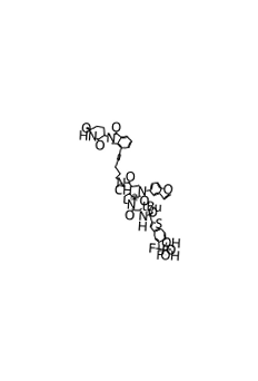 CN(CCCC#Cc1cccc2c1CN(C1CCC(=O)NC1=O)C2=O)C(=O)CCN(C(=O)[C@@H]1CCCN1C(=O)C(NC(=O)c1cc2cc(C(F)(F)P(=O)(O)O)ccc2s1)C(C)(C)C)c1ccc2occc2c1